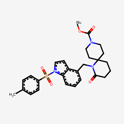 Cc1ccc(S(=O)(=O)n2ccc3c(CN4C(=O)CCCC45CCN(C(=O)OC(C)(C)C)CC5)cccc32)cc1